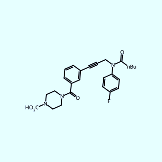 CCCCC(=O)N(CC#Cc1cccc(C(=O)N2CCN(C(=O)O)CC2)c1)c1ccc(F)cc1